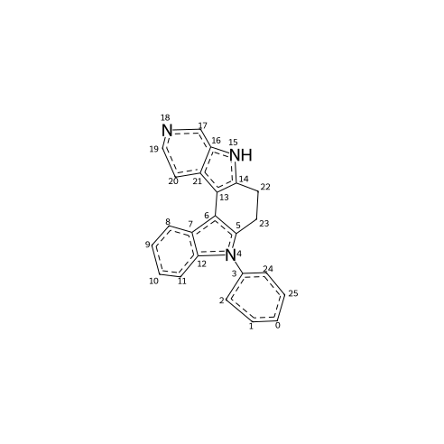 c1ccc(-n2c3c(c4ccccc42)-c2c([nH]c4cnccc24)CC3)cc1